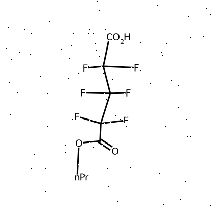 CCCOC(=O)C(F)(F)C(F)(F)C(F)(F)C(=O)O